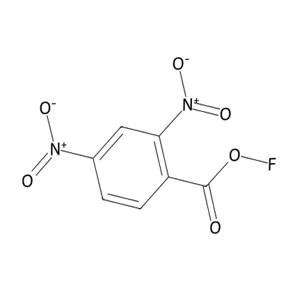 O=C(OF)c1ccc([N+](=O)[O-])cc1[N+](=O)[O-]